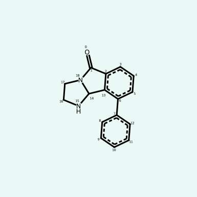 O=C1c2cccc(-c3ccccc3)c2C2NCCN12